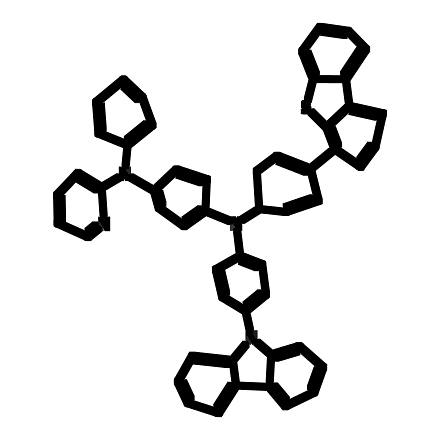 C1=CC(N(c2ccc(N(c3ccccc3)c3ccccn3)cc2)c2ccc(-n3c4ccccc4c4ccccc43)cc2)CC=C1c1cccc2c1sc1ccccc12